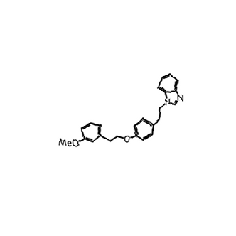 COc1cccc(CCOc2ccc(CCn3cnc4ccccc43)cc2)c1